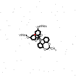 CCCCCCOc1ccc(C(=O)Oc2cccc3c2-c2c(OC(=O)c4ccc(OCCCCCC)cc4)cccc2O[C@@H](C)CO3)cc1